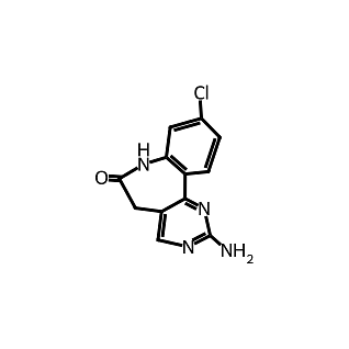 Nc1ncc2c(n1)-c1ccc(Cl)cc1NC(=O)C2